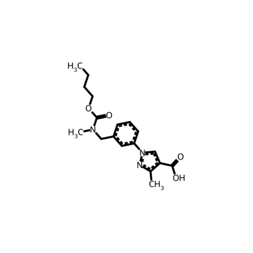 CCCCOC(=O)N(C)Cc1cccc(-n2cc(C(=O)O)c(C)n2)c1